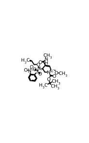 C=CCON([C@H]1CN(C(=O)OC(C)(C)C)[C@@H](COC)C=C1C(=O)NC)S(=O)(=O)c1ccccc1[N+](=O)[O-]